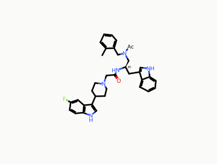 CC(=O)N(Cc1ccccc1C)C[C@@H](Cc1c[nH]c2ccccc12)NC(=O)CN1CCC(c2c[nH]c3ccc(F)cc23)CC1